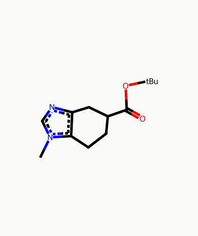 Cn1cnc2c1CCC(C(=O)OC(C)(C)C)C2